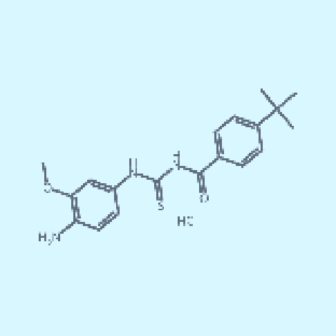 COc1cc(NC(=S)NC(=O)c2ccc(C(C)(C)C)cc2)ccc1N.Cl